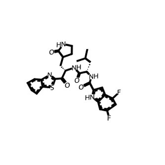 CC(C)C[C@H](NC(=O)c1cc2c(F)cc(F)cc2[nH]1)C(=O)N[C@@H](CC1CCNC1=O)C(=O)c1nc2ccccc2s1